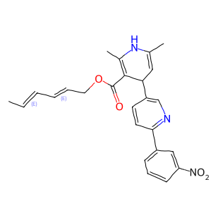 C/C=C/C=C/COC(=O)C1=C(C)NC(C)=CC1c1ccc(-c2cccc([N+](=O)[O-])c2)nc1